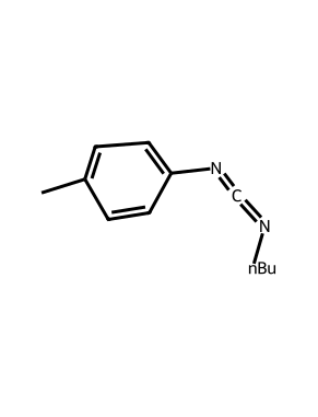 CCCCN=C=Nc1ccc(C)cc1